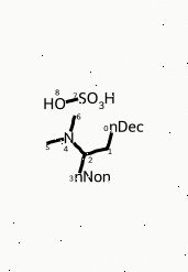 CCCCCCCCCCCC(CCCCCCCCC)N(C)C.O=S(=O)(O)O